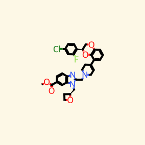 COC(=O)c1ccc2nc(CN3CC=C(c4cccc5c4O[C@@H](c4ccc(Cl)cc4F)CO5)CC3)n(C[C@@H]3CCO3)c2c1